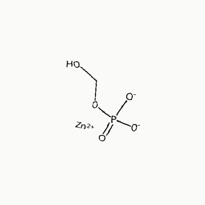 O=P([O-])([O-])OCO.[Zn+2]